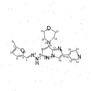 Cc1ccc(C=NNc2cc(N3CCOCC3)c3nc(-c4ccncc4)cn3n2)o1